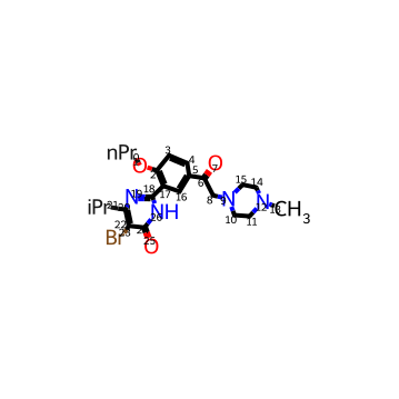 CCCOc1ccc(C(=O)CN2CCN(C)CC2)cc1-c1nc(C(C)C)c(Br)c(=O)[nH]1